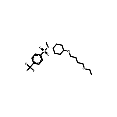 CCNCCCCO[C@H]1CC[C@H](N(C)S(=O)(=O)c2ccc(C(F)(F)F)cc2)CC1